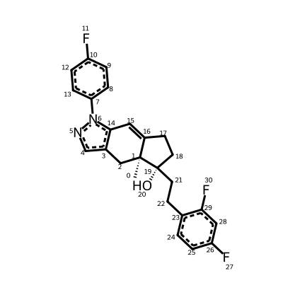 C[C@]12Cc3cnn(-c4ccc(F)cc4)c3C=C1CC[C@@]2(O)CCc1ccc(F)cc1F